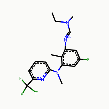 CCN(C)/C=N/c1cc(F)cc(N(C)c2cccc(C(F)(F)F)n2)c1C